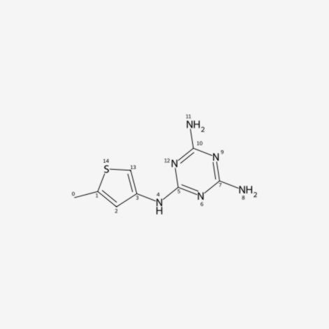 Cc1cc(Nc2nc(N)nc(N)n2)cs1